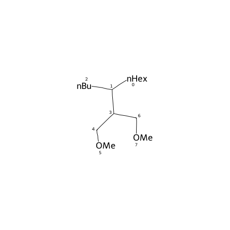 CCCCCCC(CCCC)C(COC)COC